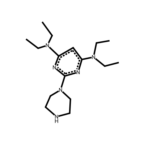 CCN(CC)c1cc(N(CC)CC)nc(N2CCNCC2)n1